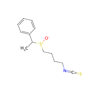 CC(c1ccccc1)[S+]([O-])CCCCN=C=S